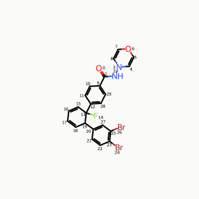 O=C(NN1C=COC=C1)c1ccc(C2(F)C=CC=CC2c2ccc(Br)c(Br)c2)cc1